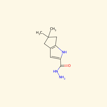 CC1(C)Cc2cc(C(=O)NN)[nH]c2C1